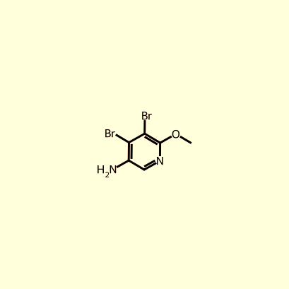 COc1ncc(N)c(Br)c1Br